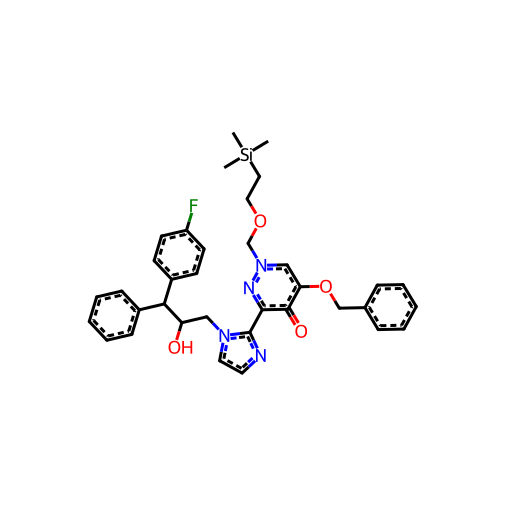 C[Si](C)(C)CCOCn1cc(OCc2ccccc2)c(=O)c(-c2nccn2CC(O)C(c2ccccc2)c2ccc(F)cc2)n1